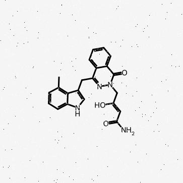 Cc1cccc2[nH]cc(Cc3nn(C/C(O)=C/C(N)=O)c(=O)c4ccccc34)c12